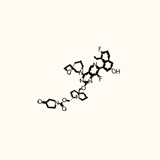 CCc1c(F)ccc2cc(O)cc(-c3ncc4c(N5CCC[C@]6(CCO6)C5)nc(OC[C@@]56CCCN5[C@H](COC(=O)N5CCC(=O)CC5)CC6)nc4c3F)c12